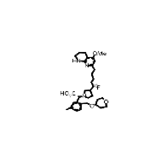 COc1cc(CCCC[C@H](F)C2CCN([C@@H](C(=O)O)c3cc(C)ccc3COC3CCOCC3)C2)nc2c1CCCN2